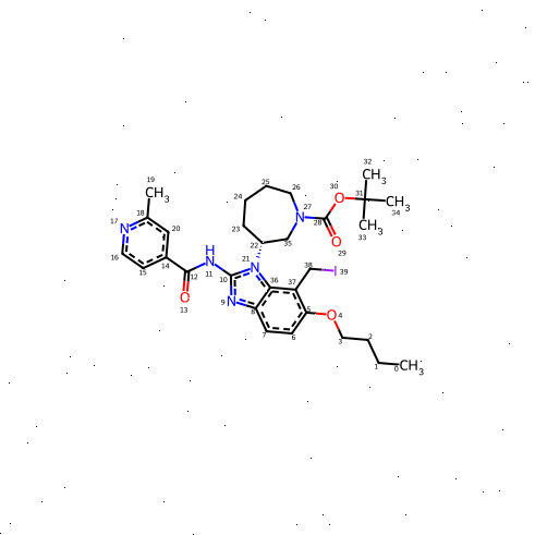 CCCCOc1ccc2nc(NC(=O)c3ccnc(C)c3)n([C@@H]3CCCCN(C(=O)OC(C)(C)C)C3)c2c1CI